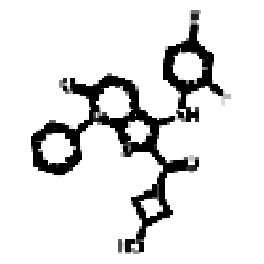 O=C(c1sc2c(ccc(=O)n2-c2ccccc2)c1Nc1ccc(F)cc1F)N1CC(O)C1